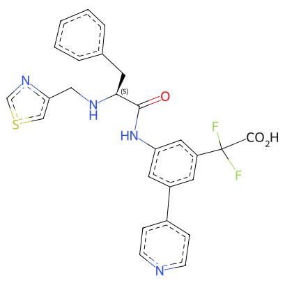 O=C(Nc1cc(-c2ccncc2)cc(C(F)(F)C(=O)O)c1)[C@H](Cc1ccccc1)NCc1cscn1